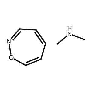 C1=CC=NOC=C1.CNC